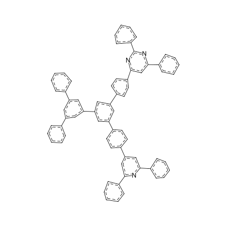 c1ccc(-c2cc(-c3ccccc3)cc(-c3cc(-c4ccc(-c5cc(-c6ccccc6)nc(-c6ccccc6)c5)cc4)cc(-c4ccc(-c5cc(-c6ccccc6)nc(-c6ccccc6)n5)cc4)c3)c2)cc1